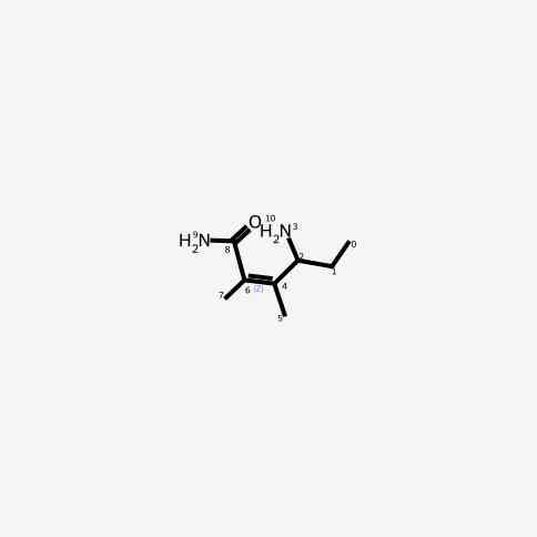 CCC(N)/C(C)=C(/C)C(N)=O